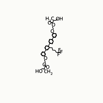 C=C(CO)C(=O)OCCOc1cccc(-c2ccc(-c3ccc(-c4cccc(OCCOC(=O)C(=C)CO)c4)cc3CCCCC(F)(F)F)cc2)c1